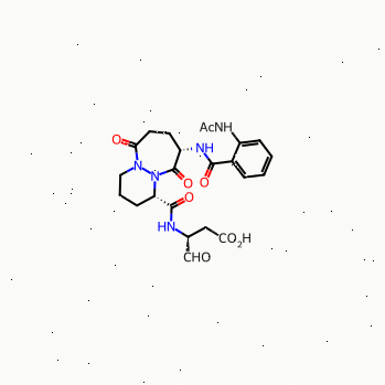 CC(=O)Nc1ccccc1C(=O)N[C@H]1CCC(=O)N2CCC[C@@H](C(=O)N[C@H](C=O)CC(=O)O)N2C1=O